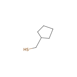 SCC1CCCC1